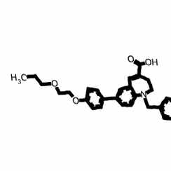 CCCOCCOc1ccc(-c2ccc3c(c2)C=C(C(=O)O)CCN3Cc2ccccc2)cc1